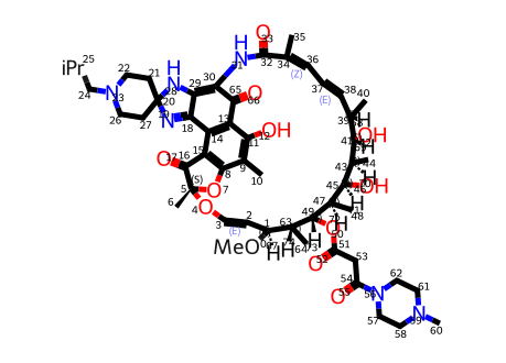 CO[C@H]1/C=C/O[C@@]2(C)Oc3c(C)c(O)c4c(c3C2=O)C2=NC3(CCN(CC(C)C)CC3)NC2=C(NC(=O)/C(C)=C\C=C\[C@H](C)[C@H](O)[C@@H](C)[C@@H](O)[C@@H](C)[C@H](OC(=O)CC(=O)N2CCN(C)CC2)[C@@H]1C)C4=O